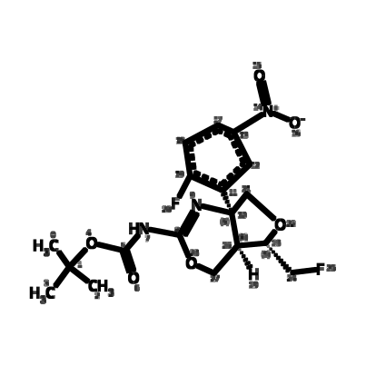 CC(C)(C)OC(=O)NC1=N[C@@]2(c3cc([N+](=O)[O-])ccc3F)CO[C@H](CF)[C@H]2CO1